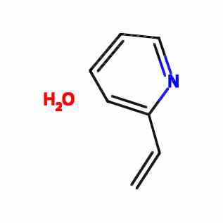 C=Cc1ccccn1.O